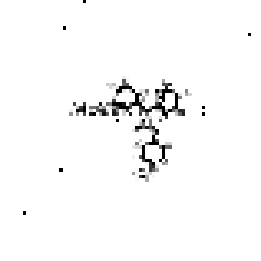 CCCN1CCC(CN(C)C(c2cccc(OC)c2)c2ccccn2)CC1